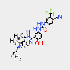 C=C(/C=C(C)/N=C/CCC)N/C(=N\C)c1cc(NC(=O)Nc2ccc(C#N)c(C(F)(F)F)c2)ccc1O